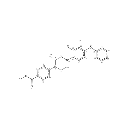 COC(=O)c1cnc(N2CCN(c3nnc(Oc4ccccc4)c(C)c3C)C[C@H]2C)cn1